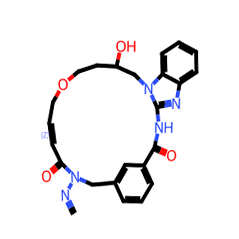 C=NN1Cc2cccc(c2)C(=O)Nc2nc3ccccc3n2CC(O)CCOC/C=C\C1=O